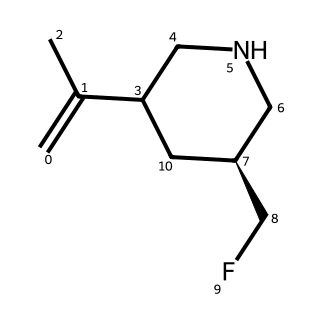 C=C(C)C1CNC[C@@H](CF)C1